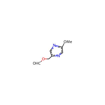 COc1cnc(COC=O)cn1